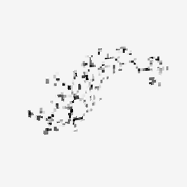 C[C@H](CCCC(C)(C)O)[C@H]1CC[C@H]2[C@@H]3CC(N)[C@H]4[C@H]5OC(C)(C)O[C@H]5CC[C@]4(C)[C@H]3CC[C@]12C